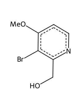 COc1ccnc(CO)c1Br